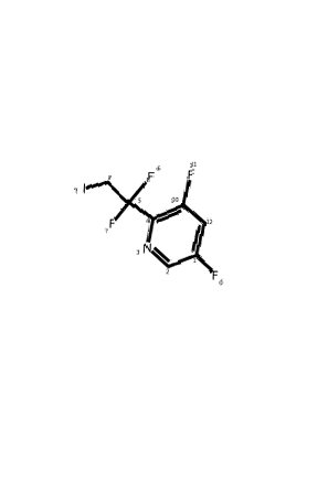 Fc1cnc(C(F)(F)CI)c(F)c1